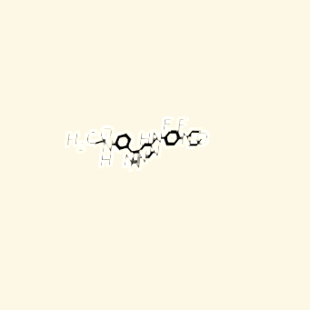 C=CC(=O)Nc1cccc(-c2nnn3cnc(Nc4ccc(N5CCOCC5)c(F)c4F)cc23)c1